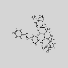 CC1(C)COC2(CCC3=C4[C@@H](CC[C@@]3(O)C2)[C@@H]2CCC(=O)[C@@]2(C)C[C@@H]4c2ccc(OCc3ccccc3)cc2)OC1